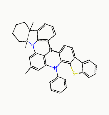 Cc1cc2c3c(c1)N1c4c(cccc4C4(C)CCCCC14C)B3c1ccc3c(sc4ccccc43)c1N2c1ccccc1